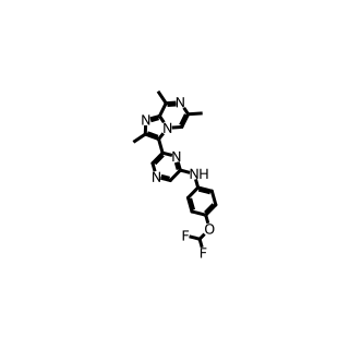 Cc1cn2c(-c3cncc(Nc4ccc(OC(F)F)cc4)n3)c(C)nc2c(C)n1